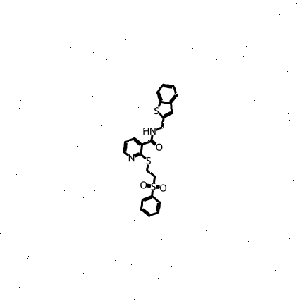 O=C(NCc1cc2ccccc2s1)c1cccnc1SCCS(=O)(=O)c1ccccc1